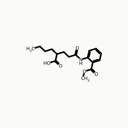 CCCCC(CCC(=O)Nc1ccccc1C(=O)OC)C(=O)O